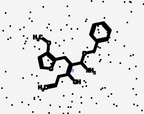 C=CC/C(O)=C(\Cc1occc1OC)C(N)OCc1ccccc1